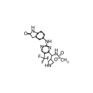 CS(=O)(=O)NC(c1nc(Nc2ccc3c(c2)CC(=O)N3)ncc1C(F)(F)F)C1CNC1